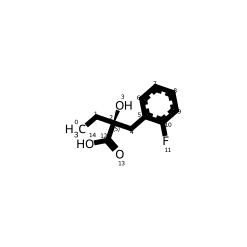 CC[C@](O)(Cc1ccccc1F)C(=O)O